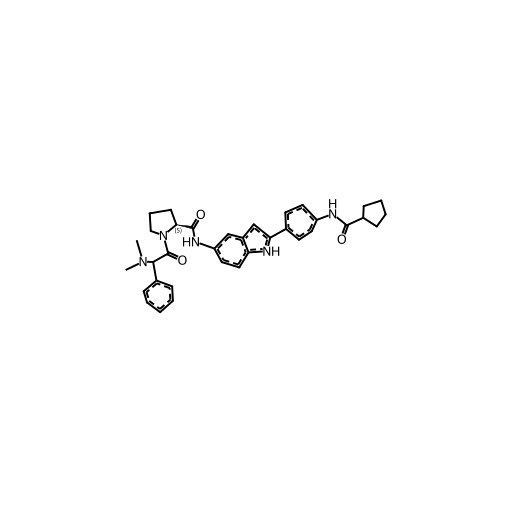 CN(C)C(C(=O)N1CCC[C@H]1C(=O)Nc1ccc2[nH]c(-c3ccc(NC(=O)C4CCCC4)cc3)cc2c1)c1ccccc1